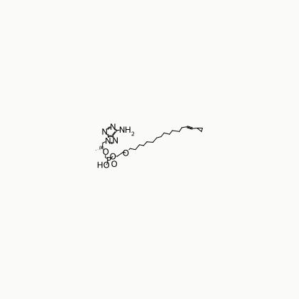 C[C@H](Cn1cnc2c(N)ncnc21)OCP(=O)(O)OCCOCCCCCCCCCCCCCC#CC1CC1